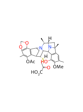 COc1c(C)cc2c(c1O)[C@H]1C3[C@H](SCC(=O)C(=O)O)C4CC(c5c6c(c(C)c(OC(C)=O)c54)OCO6)N3[C@@H](C)[C@@H]3C[C@@]2(C)N13